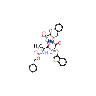 C[C@H](NC(=O)OCc1ccccc1)C(=O)N[C@@H](Cc1csc2ccccc12)C(=O)N[C@@H](Cc1ccccc1)C(=O)[C@@]1(C)CO1